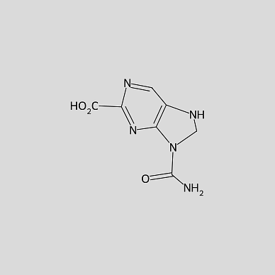 NC(=O)N1CNc2cnc(C(=O)O)nc21